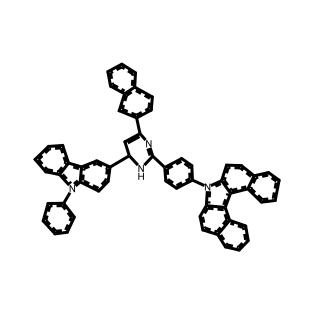 C1=C(c2ccc3ccccc3c2)N=C(c2ccc(-n3c4ccc5ccccc5c4c4c5ccccc5ccc43)cc2)NC1c1ccc2c(c1)c1ccccc1n2-c1ccccc1